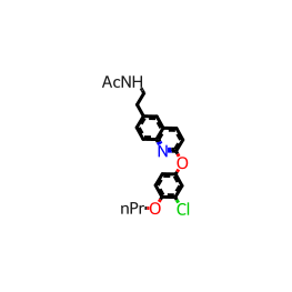 CCCOc1ccc(Oc2ccc3cc(CCNC(C)=O)ccc3n2)cc1Cl